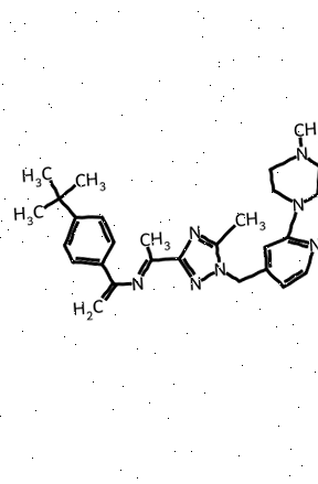 C=C(/N=C(\C)c1nc(C)n(Cc2ccnc(N3CCN(C)CC3)c2)n1)c1ccc(C(C)(C)C)cc1